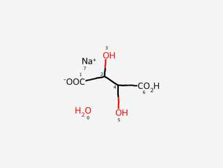 O.O=C([O-])C(O)C(O)C(=O)O.[Na+]